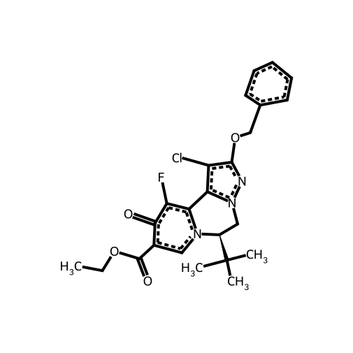 CCOC(=O)c1cn2c(c(F)c1=O)-c1c(Cl)c(OCc3ccccc3)nn1C[C@H]2C(C)(C)C